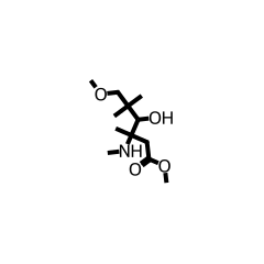 CNC(C)(CC(=O)OC)C(O)C(C)(C)COC